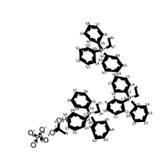 CC(=O)O.CC[P+](c1ccccc1)(c1ccccc1)c1ccccc1.CC[P+](c1ccccc1)(c1ccccc1)c1ccccc1.CC[P+](c1ccccc1)(c1ccccc1)c1ccccc1.O=P([O-])([O-])[O-]